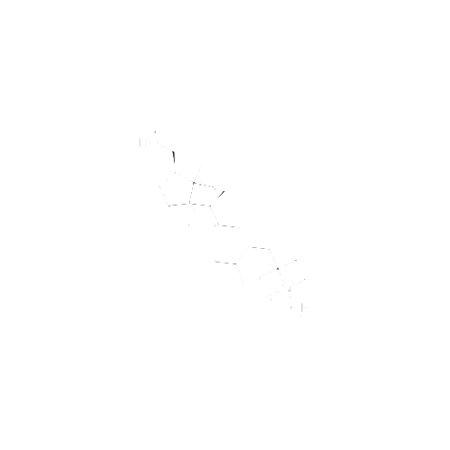 CC(C)[C@H](CC[C@H](C)[C@@]1(C)CC[C@@H](CO)C1(C)C)CC(C)(C)[Si](C)(C)O